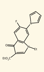 CCOC(=O)c1cn(CC)c2cc(-n3cccc3)c(F)cc2c1=O